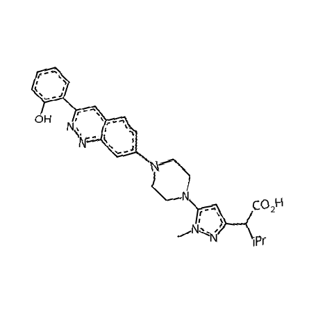 CC(C)C(C(=O)O)c1cc(N2CCN(c3ccc4cc(-c5ccccc5O)nnc4c3)CC2)n(C)n1